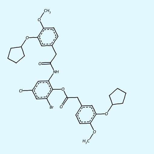 COc1ccc(CC(=O)Nc2cc(Cl)cc(Br)c2OC(=O)Cc2ccc(OC)c(OC3CCCC3)c2)cc1OC1CCCC1